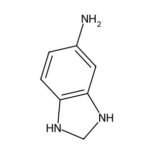 Nc1ccc2c(c1)NCN2